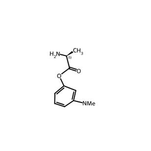 CNc1cccc(OC(=O)[C@H](C)N)c1